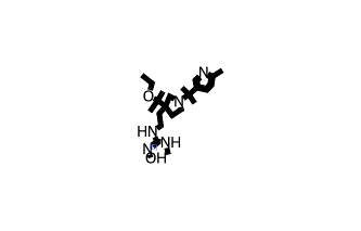 CCOC(C)(C)C1(CCN/C(=N/O)NC)CCN(C(C)(C)c2ccc(C)nc2)C1